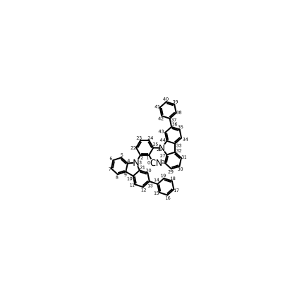 N#Cc1c(-n2c3ccccc3c3ccc(-c4ccccc4)cc32)cccc1-n1c2ccccc2c2ccc(-c3ccccc3)cc21